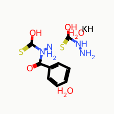 NN(C(=O)c1ccccc1)C(O)=S.NNC(O)=S.O.O.[KH]